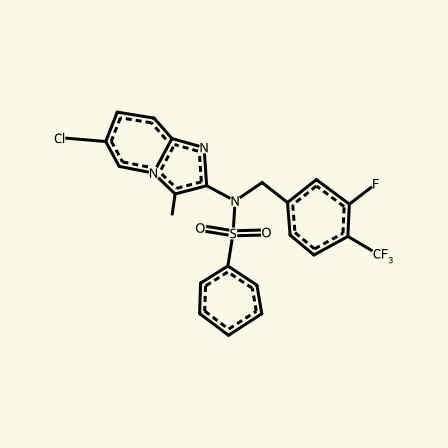 Cc1c(N(Cc2ccc(C(F)(F)F)c(F)c2)S(=O)(=O)c2ccccc2)nc2ccc(Cl)cn12